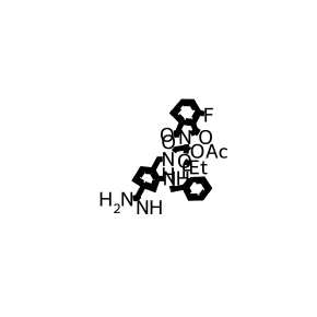 CCO[C@](OC(C)=O)(C(=O)NCc1ccc(C(=N)N)cc1NCc1ccccc1F)N1C(=O)c2cccc(F)c2C1=O